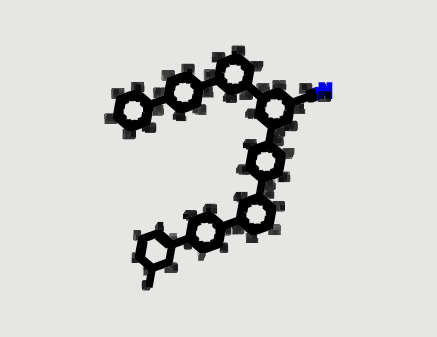 CC1C=CC=C(c2ccc(-c3cccc(-c4ccc(-c5cc(C#N)cc(-c6cccc(-c7ccc(-c8ccccc8)cc7)c6)c5)cc4)c3)cc2)C1